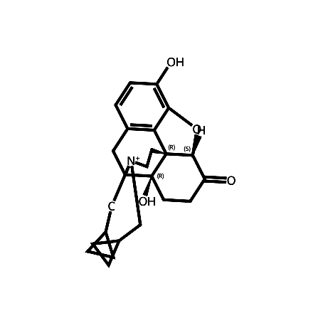 O=C1CC[C@]2(O)C3Cc4ccc(O)c5c4[C@]2(CC[N+]3(CC2CC2)CC2CC2)[C@@H]1O5